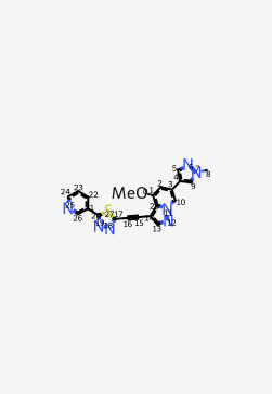 COc1cc(-c2cnn(C)c2)cn2ncc(C#Cc3nnc(-c4cccnc4)s3)c12